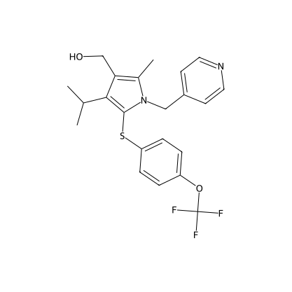 Cc1c(CO)c(C(C)C)c(Sc2ccc(OC(F)(F)F)cc2)n1Cc1ccncc1